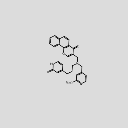 COc1cc(CN(CCCc2cc[nH]c(=O)c2)Cc2coc3c(ccc4ccccc43)c2=O)ccn1